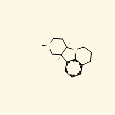 O=C(O)N1CC[C@H]2[C@@H](C1)c1cccc3c1N2CCC3